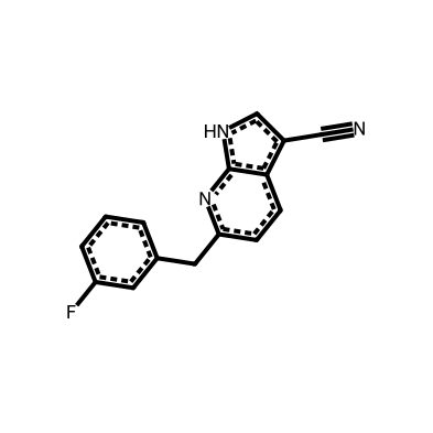 N#Cc1c[nH]c2nc(Cc3cccc(F)c3)ccc12